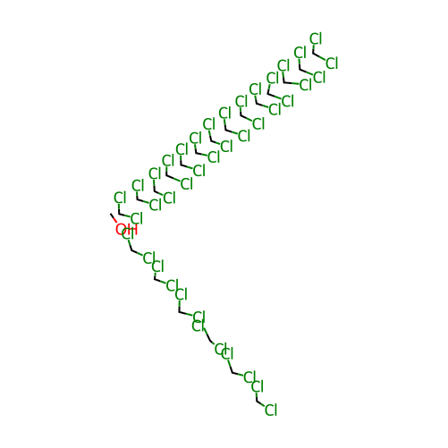 CO.ClCCl.ClCCl.ClCCl.ClCCl.ClCCl.ClCCl.ClCCl.ClCCl.ClCCl.ClCCl.ClCCl.ClCCl.ClCCl.ClCCl.ClCCl.ClCCl.ClCCl.ClCCl.ClCCl.ClCCl